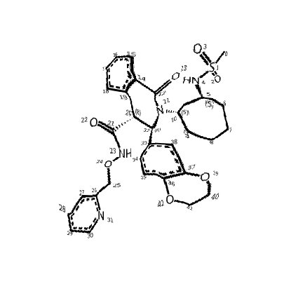 CS(=O)(=O)N[C@H]1CCCC[C@@H]1N1C(=O)c2ccccc2[C@@H](C(=O)NOCc2ccccn2)[C@@H]1c1ccc2c(c1)OCCO2